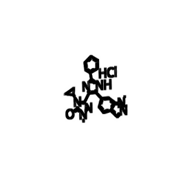 Cl.Cn1nc(-c2nc(-c3ccccc3)[nH]c2-c2ccc3cnn(C)c3c2)n(C2CC2)c1=O